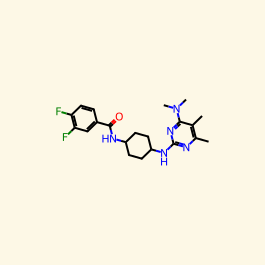 Cc1nc(NC2CCC(NC(=O)c3ccc(F)c(F)c3)CC2)nc(N(C)C)c1C